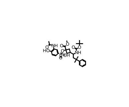 COC(=O)C1(O[As](=O)(O)c2ccc(O)c(NC(C)=O)c2)CC(C(CC(C)(C)c2ccccc2)NC(=O)OC(C)(C)C)C1